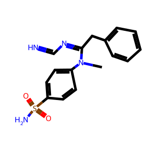 CN(/C(Cc1ccccc1)=N\C=N)c1ccc(S(N)(=O)=O)cc1